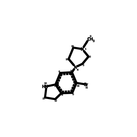 CN1CCN(c2cc3c(cc2Br)CCN3)CC1